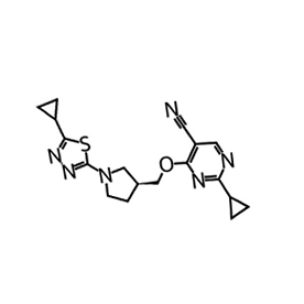 N#Cc1cnc(C2CC2)nc1OC[C@H]1CCN(c2nnc(C3CC3)s2)C1